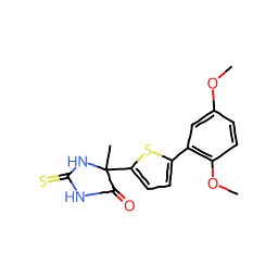 COc1ccc(OC)c(-c2ccc(C3(C)NC(=S)NC3=O)s2)c1